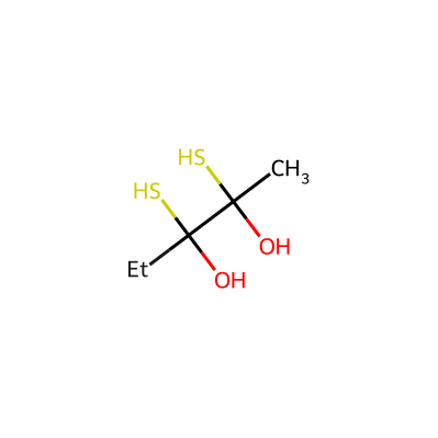 CCC(O)(S)C(C)(O)S